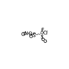 O=C(OCCN1CCOCC1)c1ccc(CCC[C@H]2CC(F)C(Cl)[C@@H]2CSc2ccc3ccccc3c2)s1